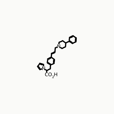 O=C(O)C(Cc1ccc(C=CCN2CCC(c3ccccc3)CC2)cc1)n1cccc1